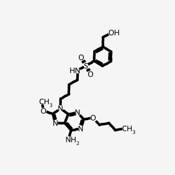 CCCCOc1nc(N)c2nc(OC)n(CCCCNS(=O)(=O)c3cccc(CO)c3)c2n1